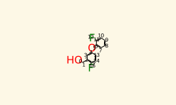 OCc1cc(Oc2ccccc2F)ccc1F